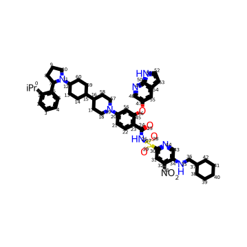 CC(C)c1ccccc1C1CCCN1C1CCC(C2CCN(c3ccc(C(=O)NS(=O)(=O)c4cc([N+](=O)[O-])c(NCC5CCCCC5)cn4)c(Oc4cnc5[nH]ccc5c4)c3)CC2)CC1